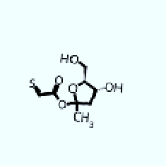 CC1(OC(=O)C=S)C[C@@H](O)[C@H](CO)O1